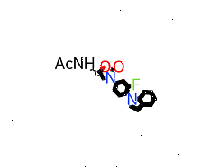 CC(=O)NC[C@H]1CN(c2ccc(-n3ccc4ccccc43)c(F)c2)C(=O)O1